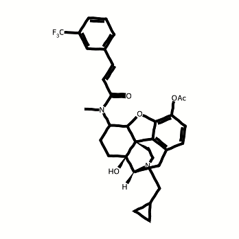 CC(=O)Oc1ccc2c3c1OC1C(N(C)C(=O)/C=C/c4cccc(C(F)(F)F)c4)CC[C@@]4(O)[C@@H](C2)N(CC2CC2)CC[C@]314